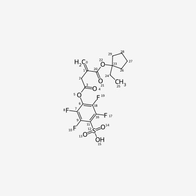 C=C(CC(=O)Oc1c(F)c(F)c(S(=O)(=O)O)c(F)c1F)C(=O)OC1(CC)CCCC1